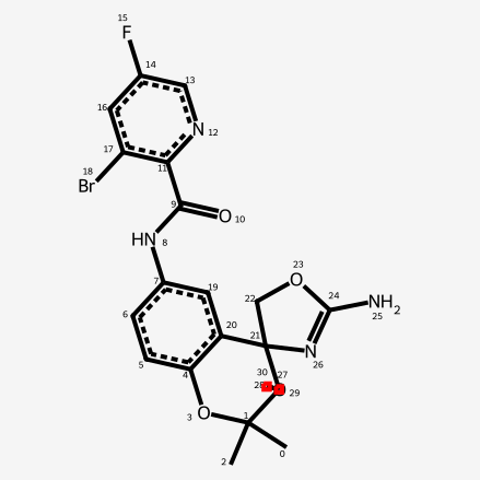 CC1(C)Oc2ccc(NC(=O)c3ncc(F)cc3Br)cc2C2(COC(N)=N2)C12COC2